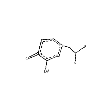 O=c1ccn(CC(F)F)cc1O